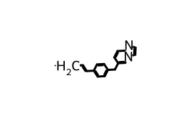 [CH2]C=Cc1ccc(Cc2ccc3nccn3c2)cc1